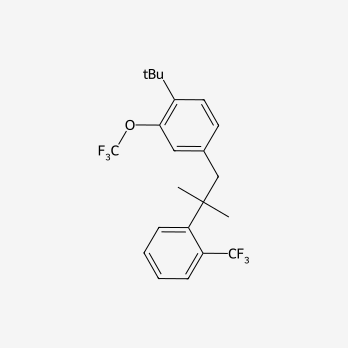 CC(C)(C)c1ccc(CC(C)(C)c2ccccc2C(F)(F)F)cc1OC(F)(F)F